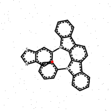 c1ccc(-n2c3ccccc3c3ccc4c5ccccc5n(-c5ccc6ncsc6c5)c4c32)cc1